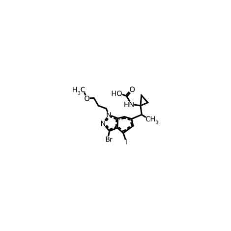 COCCCn1nc(Br)c2c(I)cc(C(C)C3(NC(=O)O)CC3)cc21